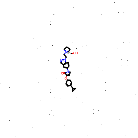 O=C1C(Oc2ccc(C3CC3)cc2)=CCN1c1ccc2c(cnn2CCN2CCC[C@@H]2CO)c1